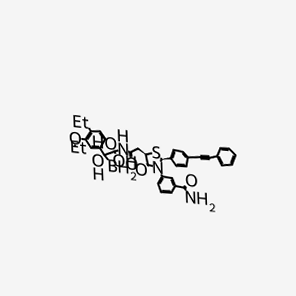 BC(O)(c1ccc(CC)c(OCC)c1)C(O)(O)NC(=O)C[C@H]1S[C@@H](c2ccc(C#Cc3ccccc3)cc2)N(c2cccc(C(N)=O)c2)C1=O